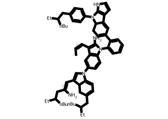 C/C=C\c1c(N)n(-c2ccccc2C2=CCC3C(=C2)c2cc[nH]c2N3c2ccc(CC(CC)CCCC)cc2)c2ccc(N3C=C(/C=C(\N)CC(CC)CCCC)C4CC(CC(CC)CCCC)=CC=C43)cc12